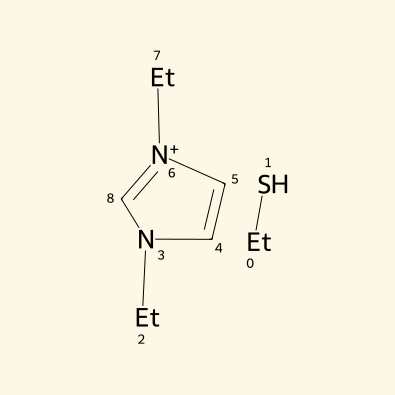 CCS.CCn1cc[n+](CC)c1